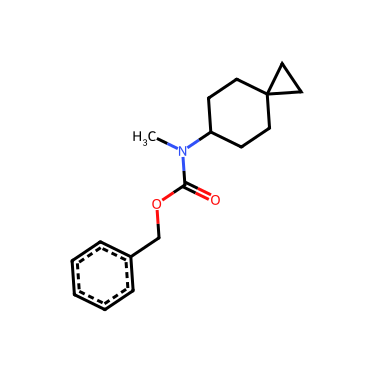 CN(C(=O)OCc1ccccc1)C1CCC2(CC1)CC2